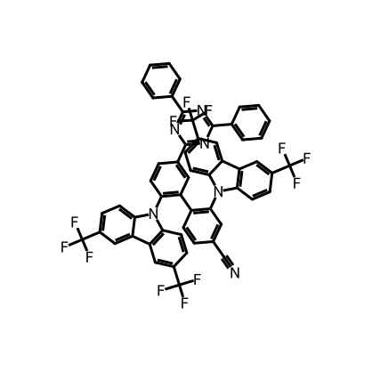 N#Cc1ccc(-c2cc(-c3nc(-c4ccccc4)nc(-c4ccccc4)n3)ccc2-n2c3ccc(C(F)(F)F)cc3c3cc(C(F)(F)F)ccc32)c(-n2c3ccc(C(F)(F)F)cc3c3cc(C(F)(F)F)ccc32)c1